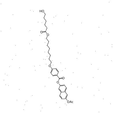 CC(=O)Oc1ccc2cc(OC(=O)c3ccc(OCCCCCCCCOC(=O)CCCCCO)cc3)ccc2c1